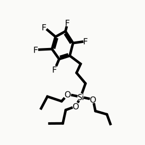 CCCO[Si](CCCc1c(F)c(F)c(F)c(F)c1F)(OCCC)OCCC